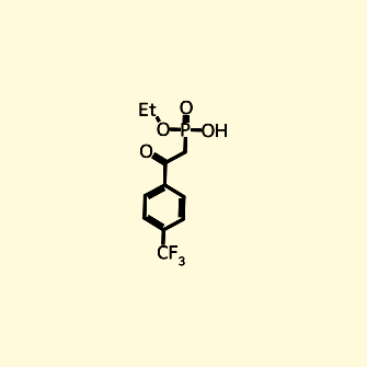 CCOP(=O)(O)CC(=O)c1ccc(C(F)(F)F)cc1